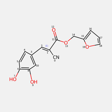 N#C/C(=C\c1ccc(O)c(O)c1)C(=O)OCc1ccco1